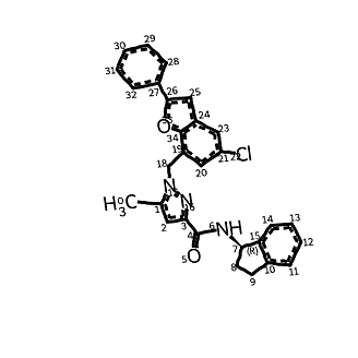 Cc1cc(C(=O)N[C@@H]2CCc3ccccc32)nn1Cc1cc(Cl)cc2cc(-c3ccccc3)oc12